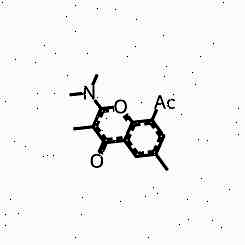 CC(=O)c1cc(C)cc2c(=O)c(C)c(N(C)C)oc12